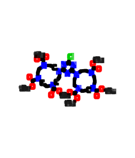 CC(C)(C)OC(=O)N1CCN(C(=O)OC(C)(C)C)CCN(c2nc(Cl)nc(N3CCN(C(=O)OC(C)(C)C)CCN(C(=O)OC(C)(C)C)CCN(C(=O)OC(C)(C)C)CC3)n2)CCN(C(=O)OC(C)(C)C)CC1